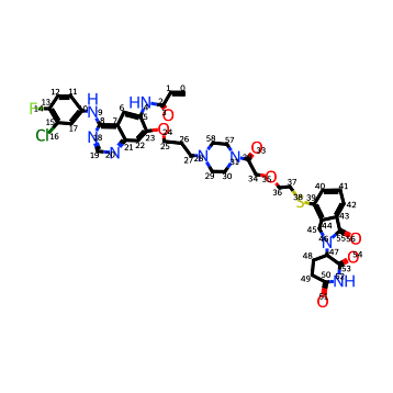 C=CC(=O)Nc1cc2c(Nc3ccc(F)c(Cl)c3)ncnc2cc1OCCCN1CCN(C(=O)COCCSc2cccc3c2CN(C2CCC(=O)NC2=O)C3=O)CC1